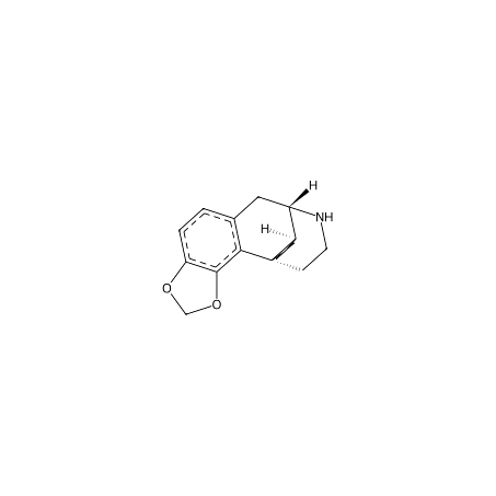 c1cc2c(c3c1C[C@@H]1NCC[C@]34CCCC[C@H]14)OCO2